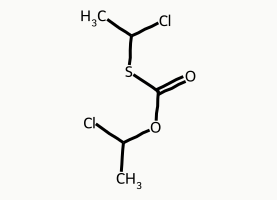 CC(Cl)OC(=O)SC(C)Cl